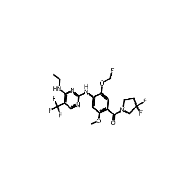 CCNc1nc(Nc2cc(OC)c(C(=O)N3CCC(F)(F)C3)cc2OCF)ncc1C(F)(F)F